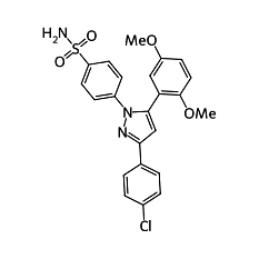 COc1ccc(OC)c(-c2cc(-c3ccc(Cl)cc3)nn2-c2ccc(S(N)(=O)=O)cc2)c1